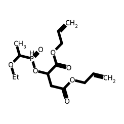 C=CCOC(=O)CC(O[PH](=O)C(C)OCC)C(=O)OCC=C